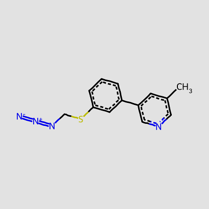 Cc1cncc(-c2cccc(SCN=[N+]=[N-])c2)c1